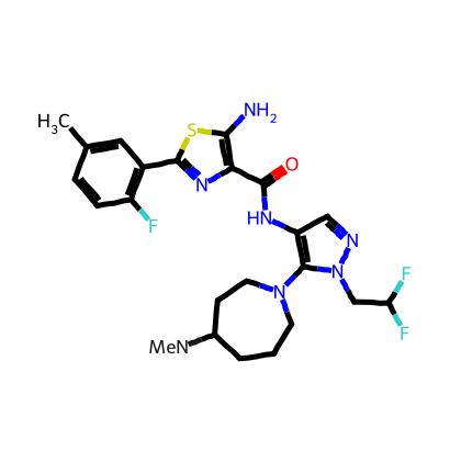 CNC1CCCN(c2c(NC(=O)c3nc(-c4cc(C)ccc4F)sc3N)cnn2CC(F)F)CC1